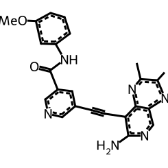 COc1cccc(NC(=O)c2cncc(C#Cc3c(N)ncc4nc(C)c(C)nc34)c2)c1